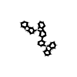 c1cc(-c2ccc3c4ccccc4n(-c4ccc5sc6ccccc6c5c4)c3c2)cc(-n2c3ccccc3c3ccccc32)c1